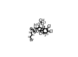 CC(=O)OC1=C(NS(=O)(=O)CCCBr)OC(C)(c2ccc(Cl)c(Cl)c2)C1=O